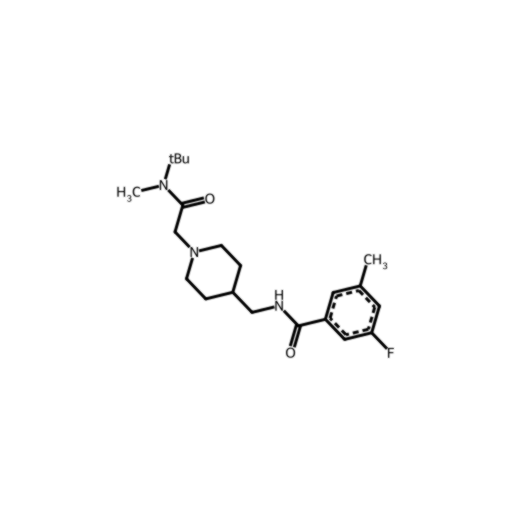 Cc1cc(F)cc(C(=O)NCC2CCN(CC(=O)N(C)C(C)(C)C)CC2)c1